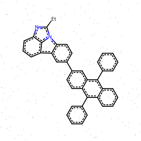 CCc1nc2cccc3c4cc(-c5ccc6c(-c7ccccc7)c7ccccc7c(-c7ccccc7)c6c5)ccc4n1c23